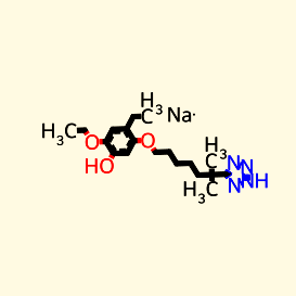 CCOc1cc(CC)c(OCCCCCC(C)(C)c2nn[nH]n2)cc1O.[Na]